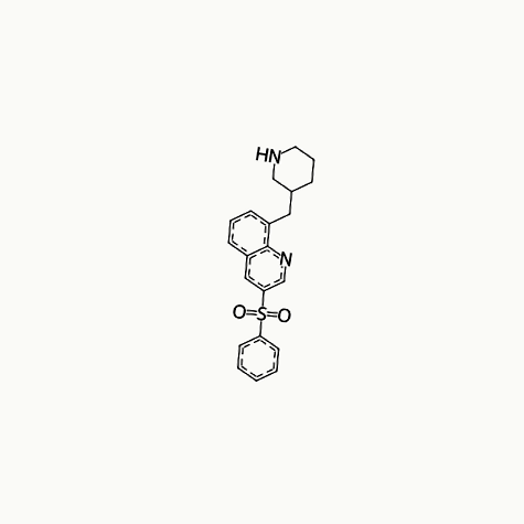 O=S(=O)(c1ccccc1)c1cnc2c(CC3CCCNC3)cccc2c1